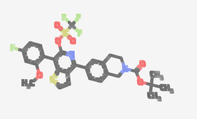 COc1cc(F)ccc1-c1c(OS(=O)(=O)C(F)(F)F)nc(-c2ccc3c(c2)CCN(C(=O)OC(C)(C)C)C3)c2ccsc12